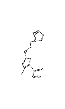 COC(=O)c1sc(OCCn2ccnc2)cc1C